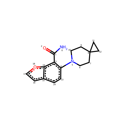 NC(=O)c1c(N2CCC3(CC2)CC3)ccc2ccoc12